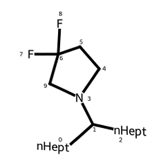 CCCCCCCC(CCCCCCC)N1CCC(F)(F)C1